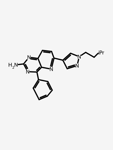 CC(C)CCn1cc(-c2ccc3nc(N)nc(-c4ccccc4)c3n2)cn1